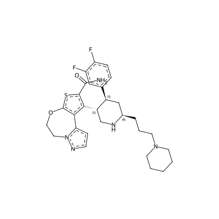 NC(=O)c1sc2c(c1[C@H]1CN[C@H](CCCN3CCCCC3)C[C@@H]1c1ccc(F)c(F)c1)-c1ccnn1CCO2